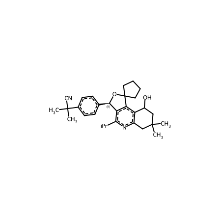 CC(C)c1nc2c(c3c1[C@@H](c1ccc(C(C)(C)C#N)cc1)OC31CCCC1)C(O)CC(C)(C)C2